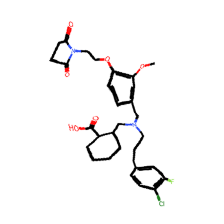 COc1cc(CN(CCc2ccc(Cl)c(F)c2)CC2CCCCC2C(=O)O)ccc1OCCN1C(=O)CCC1=O